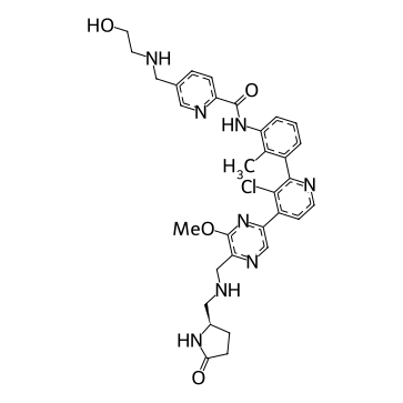 COc1nc(-c2ccnc(-c3cccc(NC(=O)c4ccc(CNCCO)cn4)c3C)c2Cl)cnc1CNC[C@H]1CCC(=O)N1